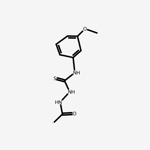 [CH2]C(=O)NNC(=S)Nc1cccc(OC)c1